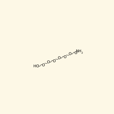 NOCCOCCOCCOCCOCCOCCOCCO